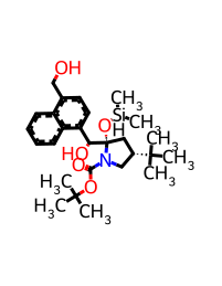 C[SiH](C)O[C@]1(C(O)c2ccc(CO)c3ccccc23)C[C@H](C(C)(C)C)CN1C(=O)OC(C)(C)C